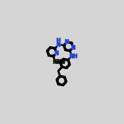 CNc1cccc(Nc2cc(Nc3ccc(Cc4ccccc4)cc3)ncn2)n1